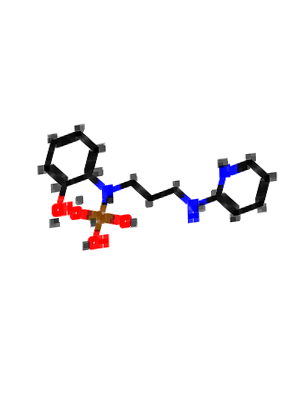 O=S(=O)(O)N(CCCNc1ccccn1)c1ccccc1O